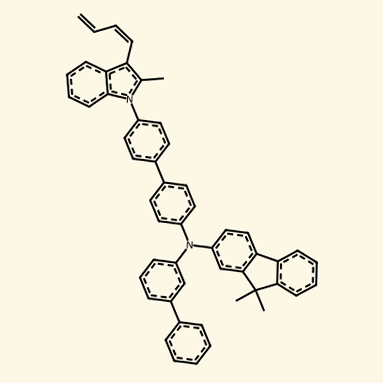 C=C/C=C\c1c(C)n(-c2ccc(-c3ccc(N(c4cccc(-c5ccccc5)c4)c4ccc5c(c4)C(C)(C)c4ccccc4-5)cc3)cc2)c2ccccc12